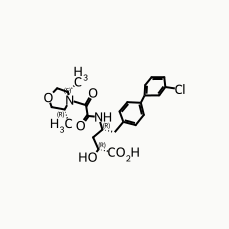 C[C@@H]1COC[C@H](C)N1C(=O)C(=O)N[C@H](Cc1ccc(-c2cccc(Cl)c2)cc1)C[C@@H](O)C(=O)O